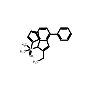 CCC1=Cc2c(-c3ccccc3)cccc2[CH]1[Zr]([CH3])([CH3])(=[SiH2])[C]1=CC=CC1